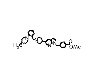 COC(=O)c1ccc(Cn2ccc3cc(C4CCN(Cc5ccccc5N5CCN(C)CC5)CC4)cnc32)cc1